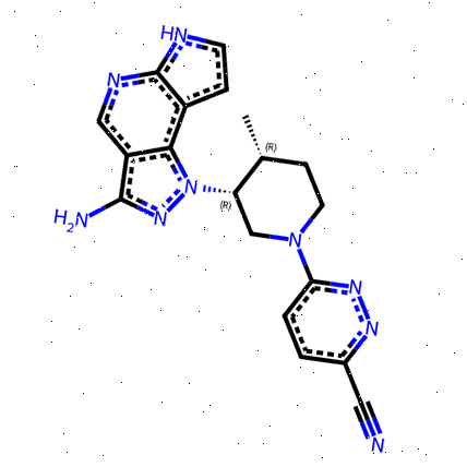 C[C@@H]1CCN(c2ccc(C#N)nn2)C[C@@H]1n1nc(N)c2cnc3[nH]ccc3c21